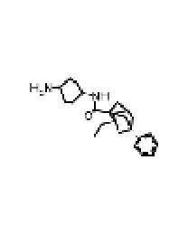 CC[C@]12CC3CC1(C(=O)NC1CCC(N)CC1)C[C@@](c1ccccc1)(C3)C2